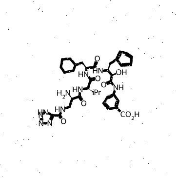 CC(C)[C@H](NC(=O)[C@@H](N)CNC(=O)c1nnn[nH]1)C(=O)N[C@@H](CC1CCCCC1)C(=O)N[C@@H](Cc1ccccc1)[C@@H](O)C(=O)Nc1cccc(C(=O)O)c1